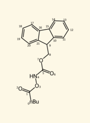 CCCCC(=O)ONC(=O)OCC1c2ccccc2-c2ccccc21